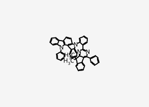 CC1(C)c2ccccc2-c2c(-c3ccccc3)nc(-c3ccccc3-n3c4ccccc4c4c3ccc3c5ccccc5n(-c5ccccc5)c34)nc21